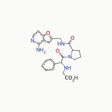 Nc1nccc2oc(CNC(=O)C3CCCN3C(=O)C(NCC(=O)O)c3ccccc3)cc12